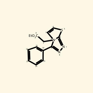 CCOC(=O)C[N+]12C=CSC1=NN=C2c1ccccc1